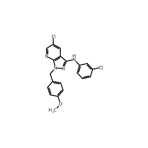 COc1ccc(Cn2nc(Nc3cccc(Cl)c3)c3cc(Cl)cnc32)cc1